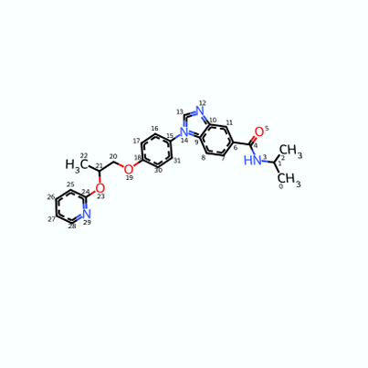 CC(C)NC(=O)c1ccc2c(c1)ncn2-c1ccc(OCC(C)Oc2ccccn2)cc1